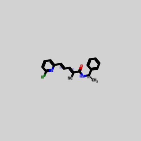 C[C@H](NC(=O)/C(C#N)=C/C=C/c1cccc(Br)n1)c1ccccc1